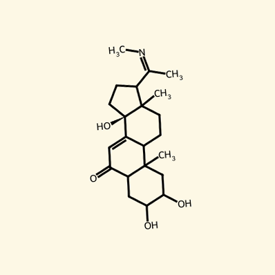 C/N=C(/C)C1CC[C@@]2(O)C3=CC(=O)C4CC(O)C(O)CC4(C)C3CCC12C